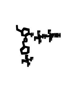 CCc1ccc(F)c(OCc2ccccc2)c1.F[B-](F)(F)F.F[B-](F)(F)F.F[B-](F)(F)F.[KH]